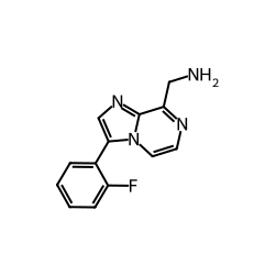 NCc1nccn2c(-c3ccccc3F)cnc12